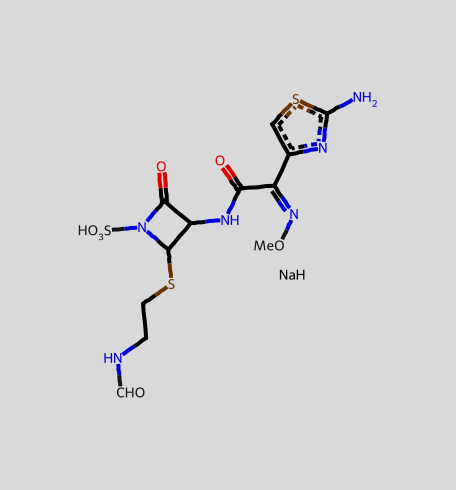 CON=C(C(=O)NC1C(=O)N(S(=O)(=O)O)C1SCCNC=O)c1csc(N)n1.[NaH]